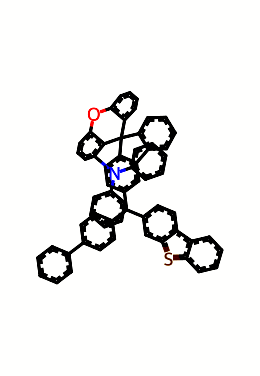 c1ccc(-c2ccc(C(c3ccc4c(c3)-c3ccccc3C43c4ccccc4Oc4cccc(N(c5ccccc5)c5ccccc5)c43)c3ccc4c(c3)sc3ccccc34)cc2)cc1